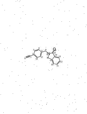 C#Cc1ccc(CN2Cc3ccccc3C2=O)cc1